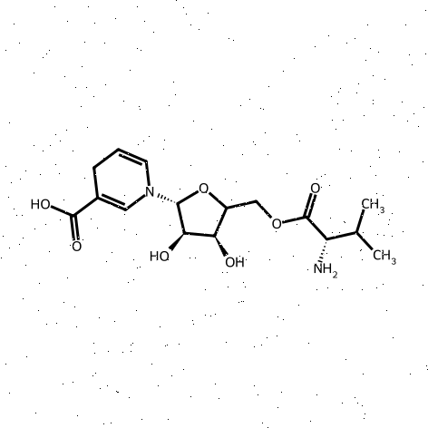 CC(C)[C@H](N)C(=O)OCC1O[C@@H](N2C=CCC(C(=O)O)=C2)[C@H](O)[C@@H]1O